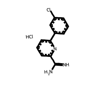 Cl.N=C(N)c1cccc(-c2cccc(Cl)c2)n1